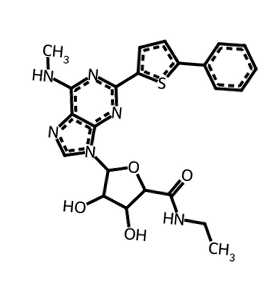 CCNC(=O)C1OC(n2cnc3c(NC)nc(-c4ccc(-c5ccccc5)s4)nc32)C(O)C1O